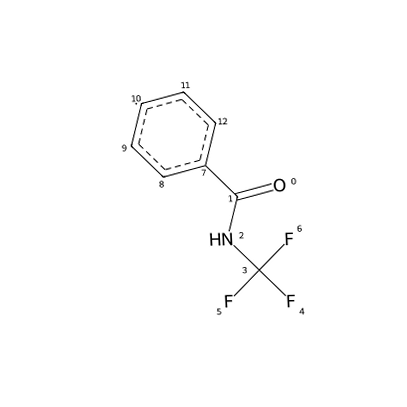 O=C(NC(F)(F)F)c1cc[c]cc1